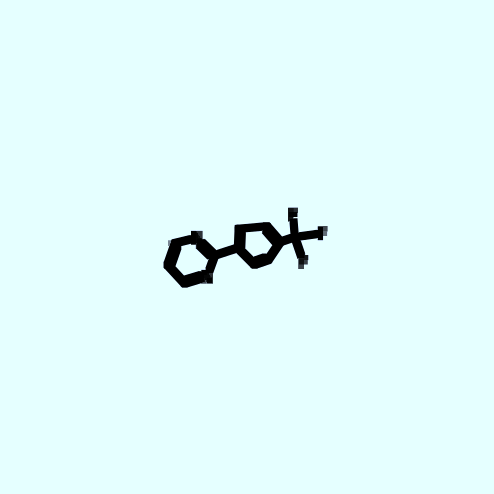 FC(F)(F)c1ccc(-c2n[c]ccn2)cc1